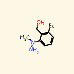 CCc1cccc(N(C)N)c1CO